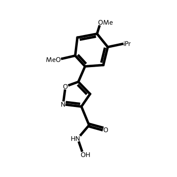 COc1cc(OC)c(C(C)C)cc1-c1cc(C(=O)NO)no1